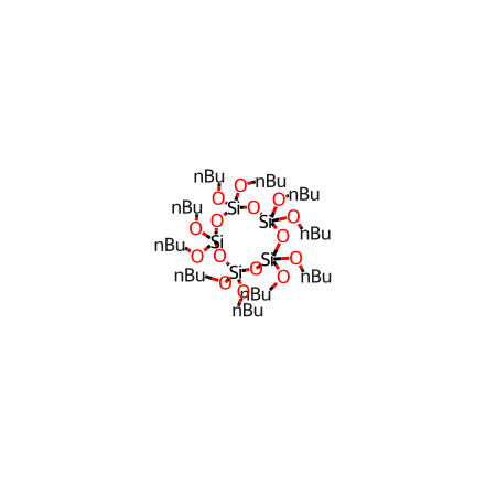 CCCCO[Si]1(OCCCC)O[Si](OCCCC)(OCCCC)O[Si](OCCCC)(OCCCC)O[Si](OCCCC)(OCCCC)O[Si](OCCCC)(OCCCC)O1